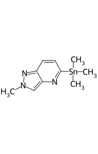 Cn1cc2n[c]([Sn]([CH3])([CH3])[CH3])ccc2n1